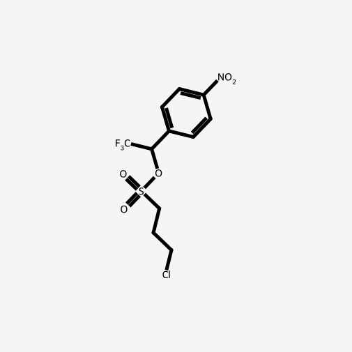 O=[N+]([O-])c1ccc(C(OS(=O)(=O)CCCCl)C(F)(F)F)cc1